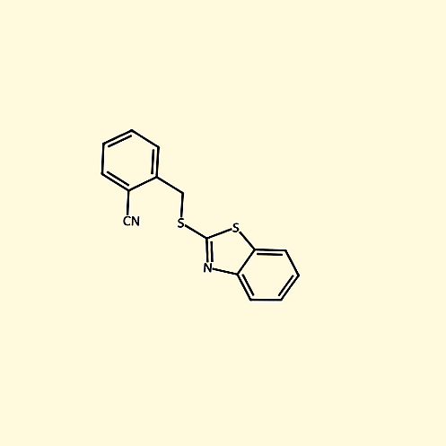 N#Cc1ccccc1CSc1nc2ccccc2s1